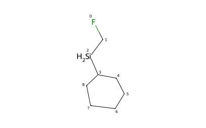 FC[SiH2]C1CCCCC1